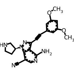 COc1cc(C#Cc2nn([C@H]3CCNC3)c3c(C#N)cnc(N)c23)cc(OC)c1